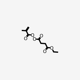 C=C(C)C(=O)OOC(=O)CCC(=O)OCC